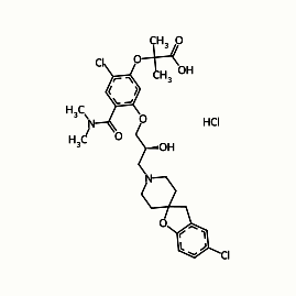 CN(C)C(=O)c1cc(Cl)c(OC(C)(C)C(=O)O)cc1OC[C@@H](O)CN1CCC2(CC1)Cc1cc(Cl)ccc1O2.Cl